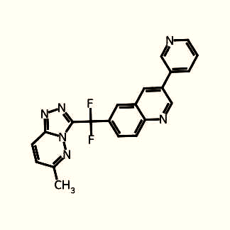 Cc1ccc2nnc(C(F)(F)c3ccc4ncc(-c5cccnc5)cc4c3)n2n1